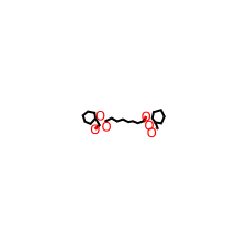 O=CC1(OC(=O)CCCCCCC(=O)OC2(C=O)CCCCC2)CCCCC1